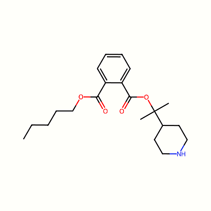 CCCCCOC(=O)c1ccccc1C(=O)OC(C)(C)C1CCNCC1